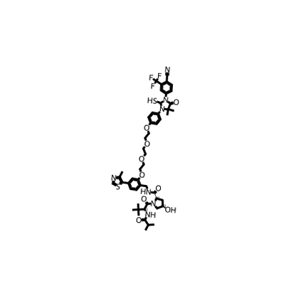 Cc1ncsc1-c1ccc(CNC(=O)[C@@H]2C[C@@H](O)CN2C(=O)[C@@H](NC(=O)C(C)C)C(C)(C)C)c(OCCOCCOCCOc2ccc(N3C(S)N(c4ccc(C#N)c(C(F)(F)F)c4)C(=O)C3(C)C)cc2)c1